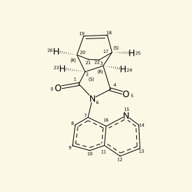 O=C1[C@@H]2[C@H](C(=O)N1c1cccc3cccnc13)[C@@H]1C=C[C@H]2CC1